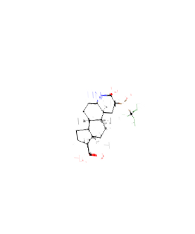 C[C@]12CC([S+]([O-])C(F)(F)F)C(=O)NC1CC[C@@H]1[C@H]2CC[C@]2(C)C(C(=O)O)CC[C@@H]12